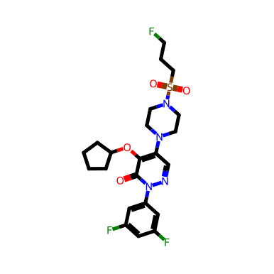 O=c1c(OC2CCCC2)c(N2CCN(S(=O)(=O)CCCF)CC2)cnn1-c1cc(F)cc(F)c1